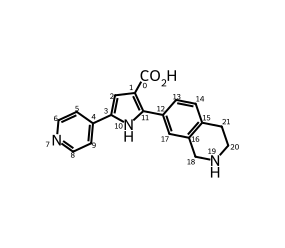 O=C(O)c1cc(-c2ccncc2)[nH]c1-c1ccc2c(c1)CNCC2